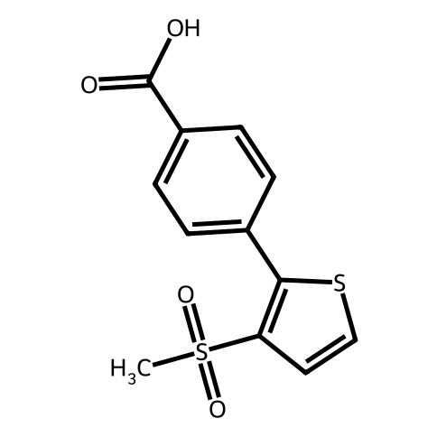 CS(=O)(=O)c1ccsc1-c1ccc(C(=O)O)cc1